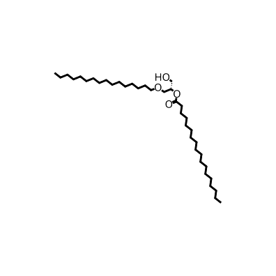 CCCCCCCCCCCCCCCCCC(=O)O[C@@H](CO)COCCCCCCCCCCCCCCCC